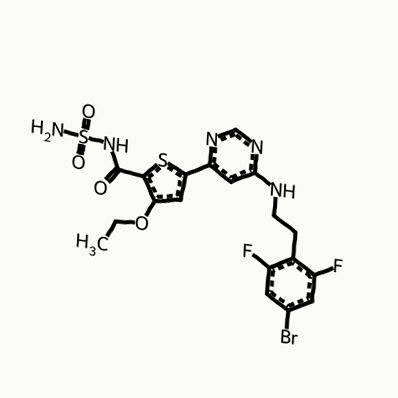 CCOc1cc(-c2cc(NCCc3c(F)cc(Br)cc3F)ncn2)sc1C(=O)NS(N)(=O)=O